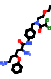 CCOCCN(Cc1ccc(NC(=O)[C@@H](N)CC(CCN)Oc2ccccc2)cc1)C(=O)C(Cl)Cl